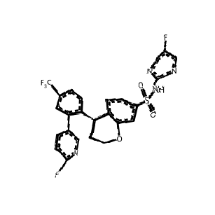 O=S(=O)(Nc1ncc(F)cn1)c1ccc2c(c1)OCC[C@H]2c1ccc(C(F)(F)F)cc1-c1ccc(F)nc1